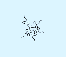 CCCC(=O)OC[C@H]1O[C@@H](OC(=O)CCC)[C@H](OC(=O)CCC)[C@@H](OC(=O)CCC)[C@@H]1OC(=O)CCC